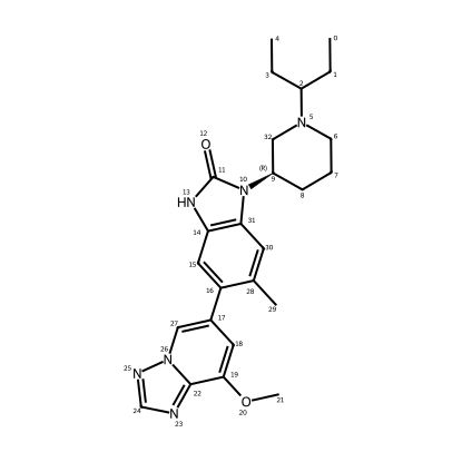 CCC(CC)N1CCC[C@@H](n2c(=O)[nH]c3cc(-c4cc(OC)c5ncnn5c4)c(C)cc32)C1